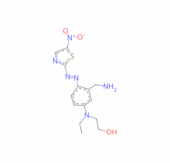 CCN(CCO)c1ccc(N=Nc2ncc([N+](=O)[O-])s2)c(CN)c1